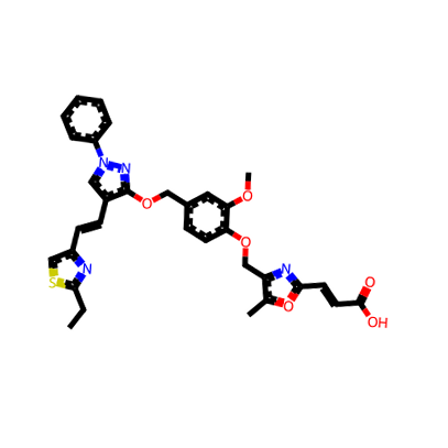 CCc1nc(C=Cc2cn(-c3ccccc3)nc2OCc2ccc(OCc3nc(C=CC(=O)O)oc3C)c(OC)c2)cs1